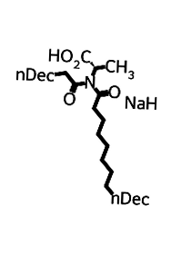 CCCCCCCCCCCCCCCCCC(=O)N(C(=O)CCCCCCCCCCC)[C@@H](C)C(=O)O.[NaH]